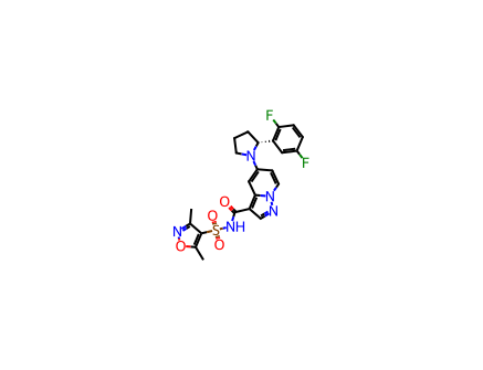 Cc1noc(C)c1S(=O)(=O)NC(=O)c1cnn2ccc(N3CCC[C@@H]3c3cc(F)ccc3F)cc12